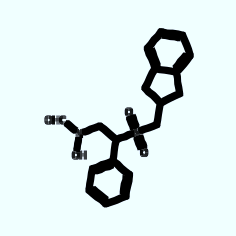 O=CN(O)CC(c1ccccc1)S(=O)(=O)CC1Cc2ccccc2C1